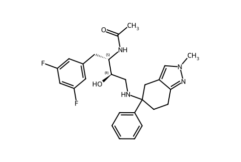 CC(=O)N[C@@H](Cc1cc(F)cc(F)c1)[C@H](O)CNC1(c2ccccc2)CCc2nn(C)cc2C1